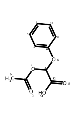 CC(=O)OC(Oc1ccccc1)C(=O)O